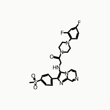 CS(=O)(=O)c1ccc(-c2nc3cnccn3c2NCC(=O)N2CCN(c3ccc(F)cc3F)CC2)cc1